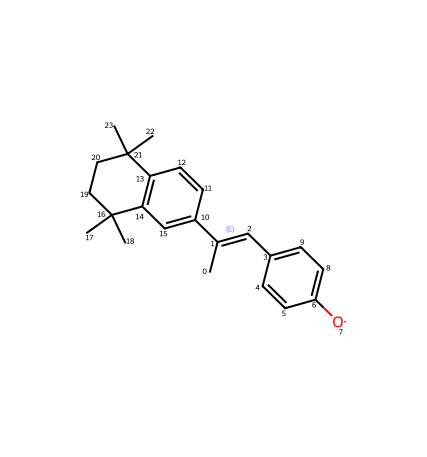 C/C(=C\c1ccc([O])cc1)c1ccc2c(c1)C(C)(C)CCC2(C)C